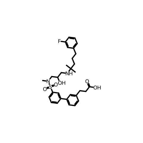 CN(CC(O)CNC(C)(C)CCCc1cccc(F)c1)S(=O)(=O)c1cccc(-c2cccc(CCC(=O)O)c2)c1